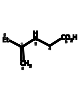 C=C(CC)NCC(=O)O